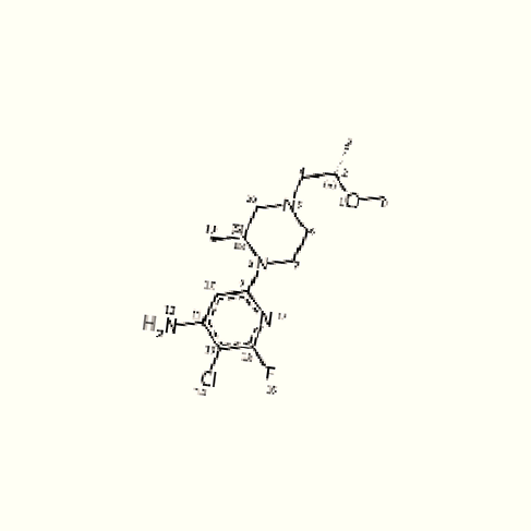 CO[C@@H](C)CN1CCN(c2cc(N)c(Cl)c(F)n2)[C@@H](C)C1